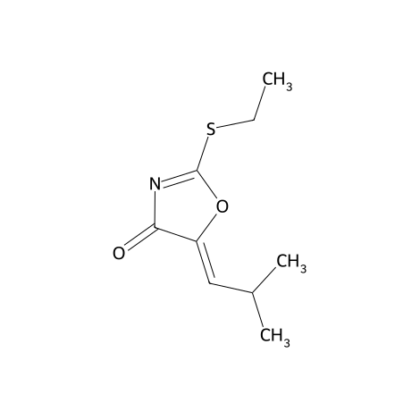 CCSC1=NC(=O)/C(=C/C(C)C)O1